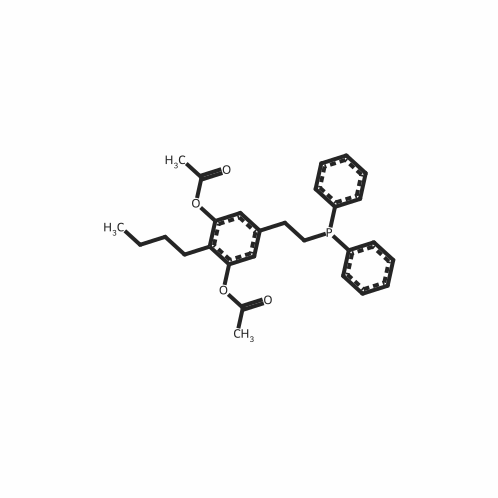 CCCCc1c(OC(C)=O)cc(CCP(c2ccccc2)c2ccccc2)cc1OC(C)=O